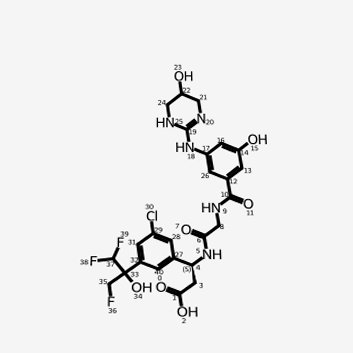 O=C(O)C[C@H](NC(=O)CNC(=O)c1cc(O)cc(NC2=NCC(O)CN2)c1)c1cc(Cl)cc(C(O)(CF)C(F)F)c1